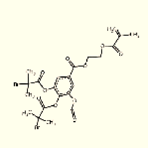 C=C(C)C(=O)OCCOC(=O)c1cc(OC=O)c(OC(=O)C(C)(C)Br)c(OC(=O)C(C)(C)Br)c1